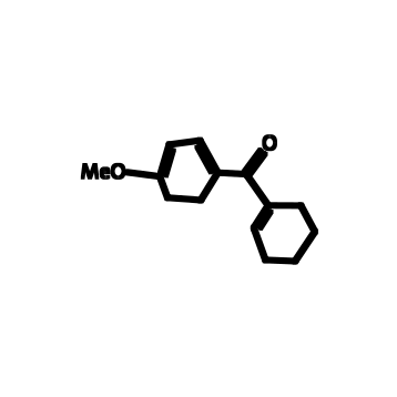 COC1=CC=C(C(=O)C2=CCCCC2)CC1